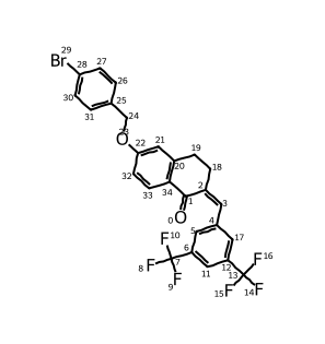 O=C1C(=Cc2cc(C(F)(F)F)cc(C(F)(F)F)c2)CCc2cc(OCc3ccc(Br)cc3)ccc21